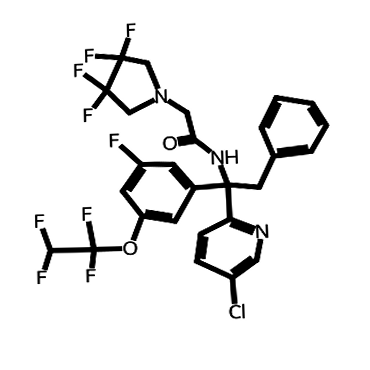 O=C(CN1CC(F)(F)C(F)(F)C1)NC(Cc1ccccc1)(c1cc(F)cc(OC(F)(F)C(F)F)c1)c1ccc(Cl)cn1